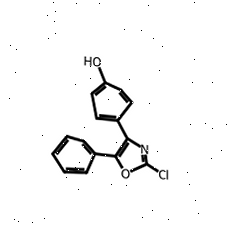 Oc1ccc(-c2nc(Cl)oc2-c2ccccc2)cc1